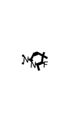 CC1=C(F)C(C)(C)C#CC(N(C)C)=N1